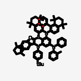 Cc1ccccc1N(c1ccccc1)c1cc2c3c(c1)N(c1ccc(C(C)(C)C)cc1)c1c(oc4cc5c(cc14)C1(C)CCC5(C)C1)B3c1cc3c(cc1N2c1ccc2c(c1-c1ccccc1)C(C)(C)CCC2(C)C)C(C)(C)CCC3(C)C